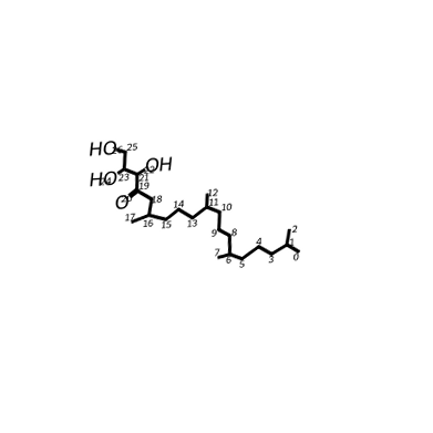 CC(C)CCCC(C)CCCC(C)CCCC(C)CC(=O)C(O)C(O)CO